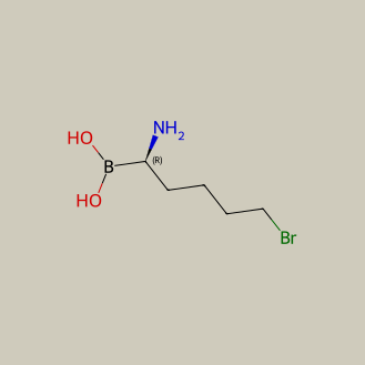 N[C@@H](CCCCBr)B(O)O